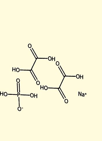 O=C(O)C(=O)O.O=C(O)C(=O)O.O=P([O-])(O)O.[Na+]